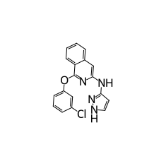 Clc1cccc(Oc2nc(Nc3cc[nH]n3)cc3ccccc23)c1